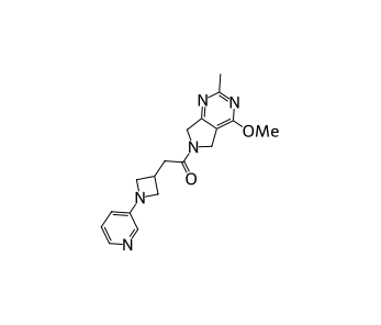 COc1nc(C)nc2c1CN(C(=O)CC1CN(c3cccnc3)C1)C2